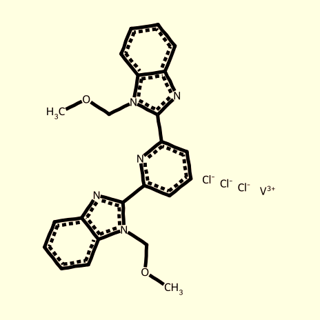 COCn1c(-c2cccc(-c3nc4ccccc4n3COC)n2)nc2ccccc21.[Cl-].[Cl-].[Cl-].[V+3]